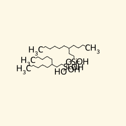 CCCCCCC(CCCC)CC[Si](O)(O)O[Si](O)(O)CCC(CCCCC)CCCCC